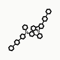 c1ccc(-c2ccc(-c3ccc(N(c4ccccc4)c4ccc(-c5ccccc5-n5c6ccccc6c6cc(-c7ccc(-c8ccccc8)cc7)ccc65)cc4)cc3)cc2)cc1